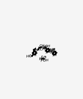 CC(C)(CCn1ccc2cc(CO)ccc21)NC[C@H](O)c1cccc(NS(=O)(=O)c2ccccc2)c1.O=C(O)C(F)(F)F